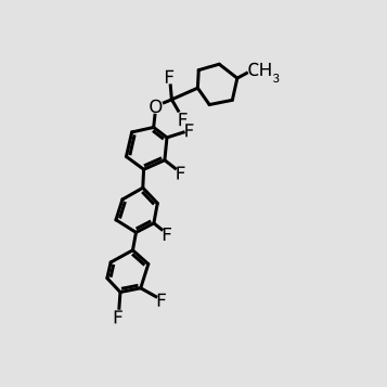 CC1CCC(C(F)(F)Oc2ccc(-c3ccc(-c4ccc(F)c(F)c4)c(F)c3)c(F)c2F)CC1